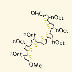 CCCCCCCCc1cc(C=O)sc1-c1cc(CCCCCCCC)c(-c2cc(CCCCCCCC)c(-c3ccc(-c4sc(-c5sc(-c6sc(OC)cc6CCCCCCCC)cc5CCCCCCCC)cc4CCCCCCCC)s3)s2)s1